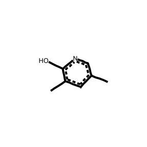 Cc1[c]c(C)c(O)nc1